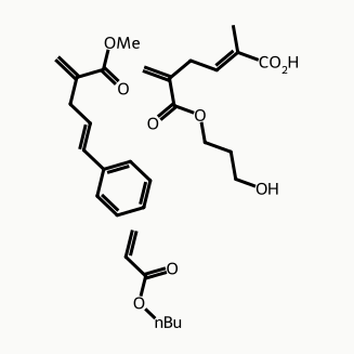 C=C(CC=C(C)C(=O)O)C(=O)OCCCO.C=C(CC=Cc1ccccc1)C(=O)OC.C=CC(=O)OCCCC